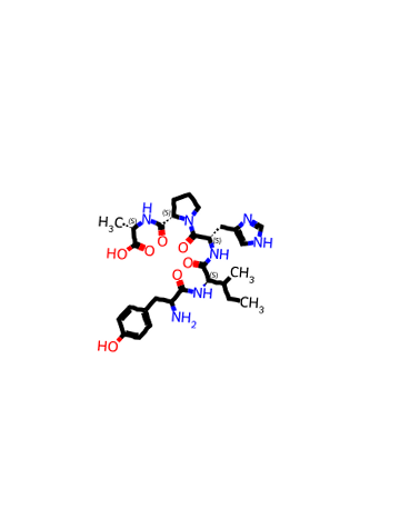 CCC(C)[C@H](NC(=O)C(N)Cc1ccc(O)cc1)C(=O)N[C@@H](Cc1c[nH]cn1)C(=O)N1CCC[C@H]1C(=O)N[C@@H](C)C(=O)O